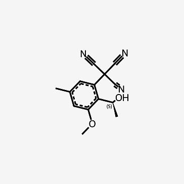 COc1cc(C)cc(C(C#N)(C#N)C#N)c1[C@H](C)O